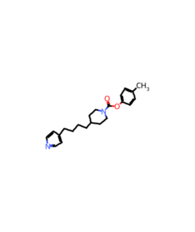 Cc1ccc(OC(=O)N2CCC(CCCCc3ccncc3)CC2)cc1